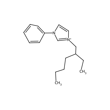 CCCCC(CC)C[n+]1ccn(-c2ccccc2)c1